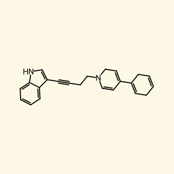 C(#Cc1c[nH]c2ccccc12)CCN1C=CC(C2=CCC=CC2)=CC1